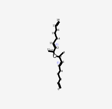 C=CCCC/C=C/C(C)OC(C)/C=C/CCCC=C